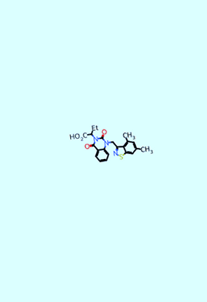 CCC(C(=O)O)n1c(=O)c2ccccc2n(Cc2nsc3cc(C)cc(C)c23)c1=O